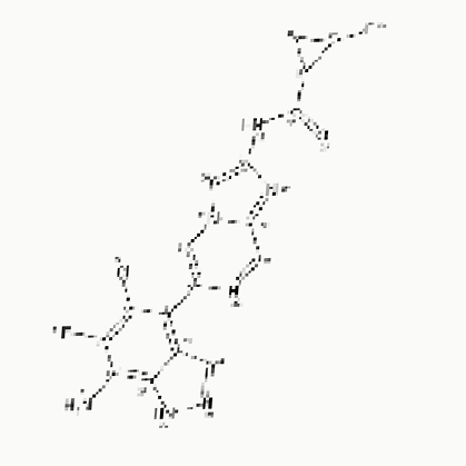 Nc1c(F)c(Cl)c(-c2cn3cc(NC(=O)C4CC4F)nc3cn2)c2cn[nH]c12